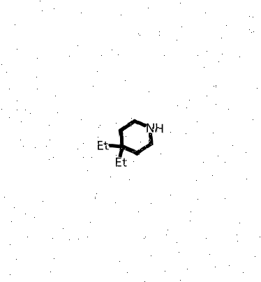 CCC1(CC)CCNCC1